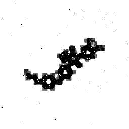 C=C1N(c2cnc(C#N)c(C(F)(F)F)c2)C(=O)C2(CCC2)N1c1ccc(OC2CCN(CCCF)CC2)cc1